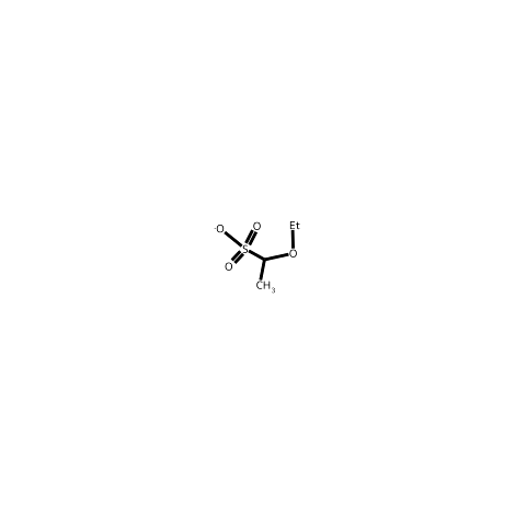 CCOC(C)S([O])(=O)=O